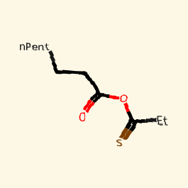 [CH2]CC(=S)OC(=O)CCCCCCC